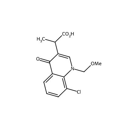 COCn1cc(C(C)C(=O)O)c(=O)c2cccc(Cl)c21